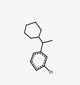 CCc1cccc(C(C)C2CCCCC2)c1